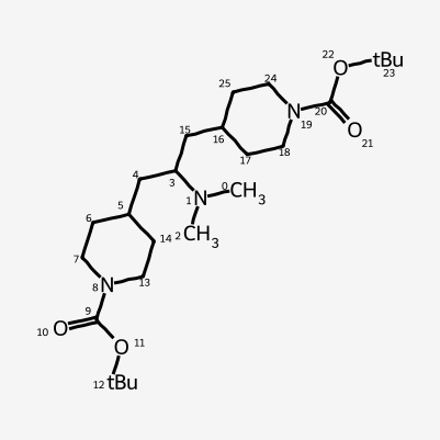 CN(C)C(CC1CCN(C(=O)OC(C)(C)C)CC1)CC1CCN(C(=O)OC(C)(C)C)CC1